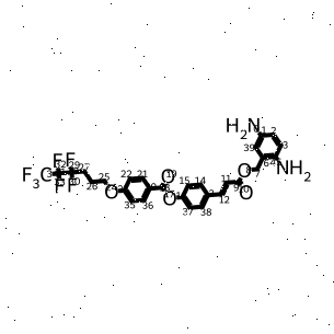 Nc1ccc(N)c(COC(=O)C=Cc2ccc(OC(=O)c3ccc(OCCCC(F)(F)C(F)(F)C(F)(F)F)cc3)cc2)c1